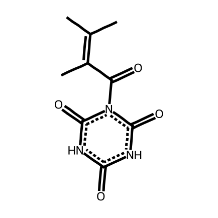 CC(C)=C(C)C(=O)n1c(=O)[nH]c(=O)[nH]c1=O